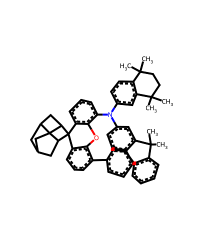 CC1(C)CCC(C)(C)c2cc(N(c3ccc4c(c3)C(C)(C)c3ccccc3-4)c3cccc4c3Oc3c(-c5ccccc5)cccc3C43C4CC5CC6CC3C64C5)ccc21